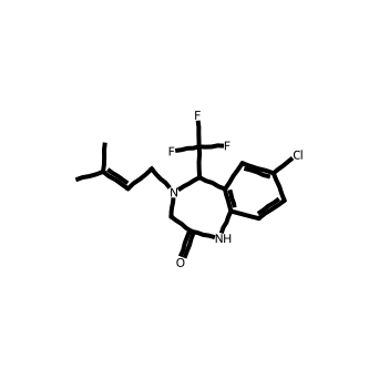 CC(C)=CCN1CC(=O)Nc2ccc(Cl)cc2C1C(F)(F)F